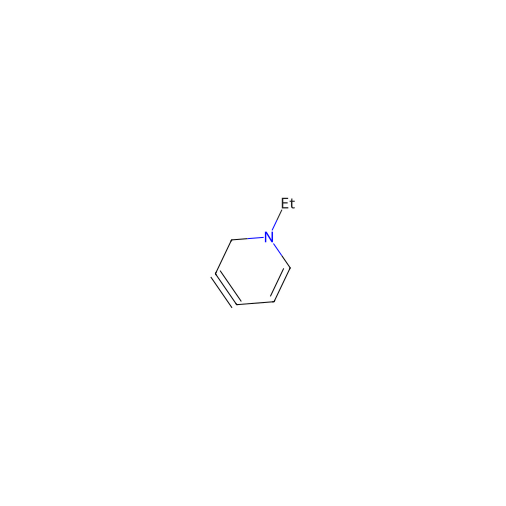 [CH2]CN1C=CC#CC1